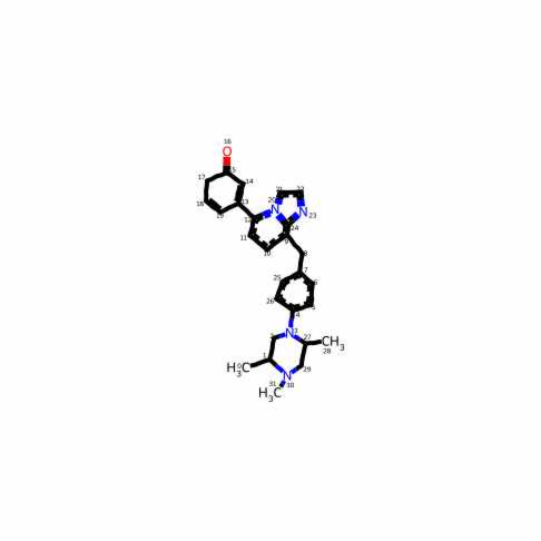 CC1CN(c2ccc(Cc3ccc(C4=CC(=O)CC=C4)n4ccnc34)cc2)C(C)CN1C